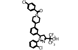 O=C(c1ccc(Cl)cc1)N1CC=C(c2cccc(C3CC(C(O)(C(F)(F)F)C(F)(F)F)=NN3c3ccccc3Cl)c2)CC1